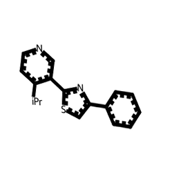 CC(C)c1ccncc1-c1nc(-c2ccccc2)cs1